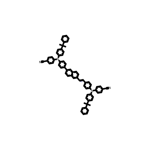 CC(C)(c1ccccc1)c1ccc(N(c2ccc(C#N)cc2)c2ccc(/C=C/c3ccc4cc(-c5ccc(N(c6ccc(C#N)cc6)c6ccc(C(C)(C)c7ccccc7)cc6)cc5)ccc4c3)cc2)cc1